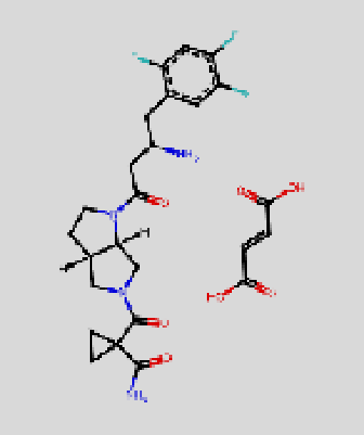 NC(=O)C1(C(=O)N2C[C@@H]3CCN(C(=O)C[C@H](N)Cc4cc(F)c(F)cc4F)[C@@H]3C2)CC1.O=C(O)/C=C/C(=O)O